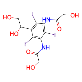 O=C(CO)Nc1c(I)c(NC(=O)CO)c(I)c(C(O)CO)c1I